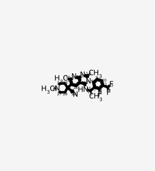 Cc1nc(N[C@H](C)c2cccc(C(F)F)c2F)c2cc(C3(C#N)CCN(C)CC3)c(C)nc2n1